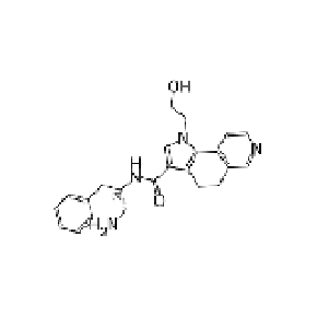 NC[C@H](Cc1ccccc1)NC(=O)c1cn(CCO)c2c1CCc1cnccc1-2